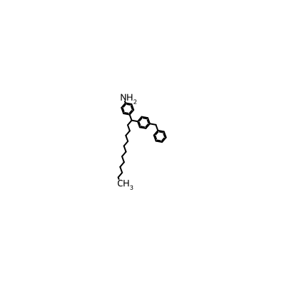 CCCCCCCCCCCCC(c1ccc(N)cc1)c1ccc(Cc2ccccc2)cc1